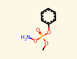 COP(=O)(ON)Oc1ccccc1